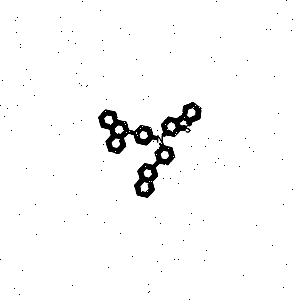 c1cc(-c2ccc3ccccc3c2)cc(N(c2ccc(-c3cc4ccccc4c4ccccc34)cc2)c2ccc3c(c2)sc2ccccc23)c1